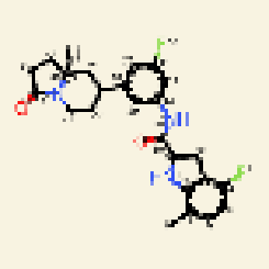 Cc1ccc(F)c2c1NC(C(=O)Nc1cc(F)cc(C3CCN4C(=O)CC[C@@H]4C3)c1)C2